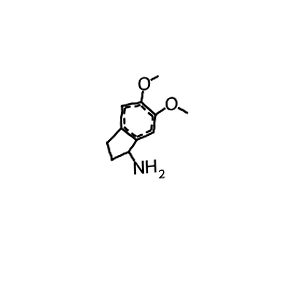 COc1cc2c(cc1OC)C(N)CC2